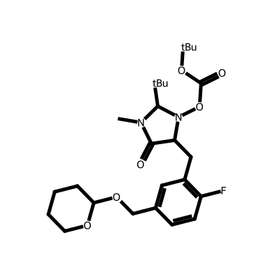 CN1C(=O)C(Cc2cc(COC3CCCCO3)ccc2F)N(OC(=O)OC(C)(C)C)C1C(C)(C)C